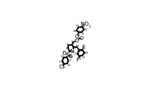 O=C(OCc1ccc(S(=O)(=O)c2ccc(Cl)cc2)nc1Cc1cc(F)ccc1F)Oc1ccc([N+](=O)[O-])cc1